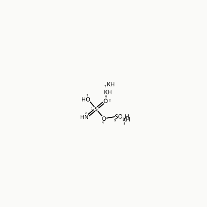 N=S(=O)(O)OS(=O)(=O)O.[KH].[KH].[KH]